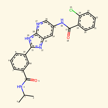 CC(C)NC(=O)c1cccc(-c2nc3cc(NC(=O)c4ccccc4Cl)cnc3[nH]2)c1